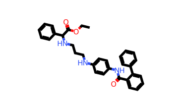 CCOC(=O)C(NCCCNc1ccc(NC(=O)c2ccccc2-c2ccccc2)cc1)c1ccccc1